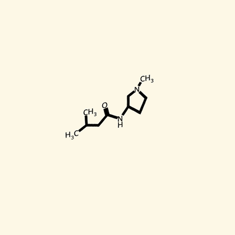 CC(C)CC(=O)NC1CCN(C)C1